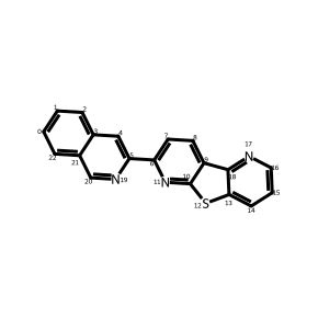 c1ccc2cc(-c3ccc4c(n3)sc3cccnc34)ncc2c1